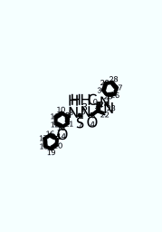 Cc1c(C(=O)NC(=S)Nc2cccc(Oc3ccccc3)c2)cnn1-c1ccccc1